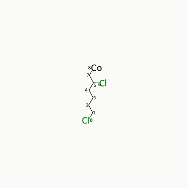 ClCCCCC(Cl)[CH2][Co]